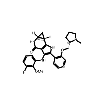 COc1c(F)cccc1Nc1c(-c2ccncc2OC[C@@H]2CCCN2C)[nH]c2c1C(=O)N[C@@H]1C[C@H]21